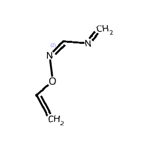 C=CO/N=C\N=C